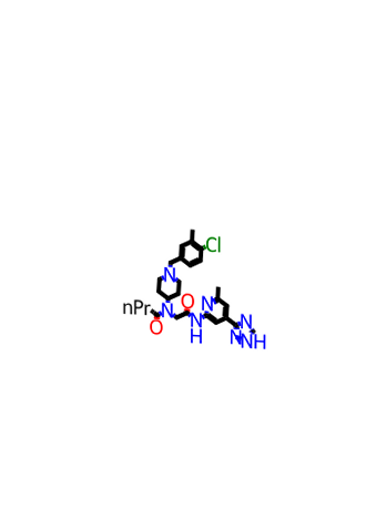 CCCC(=O)N(CC(=O)Nc1cc(-c2nc[nH]n2)cc(C)n1)C1CCN(Cc2ccc(Cl)c(C)c2)CC1